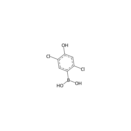 OB(O)c1cc(Cl)c(O)cc1Cl